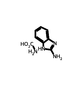 NC(=O)O.Nc1nc2ccccc2[nH]1